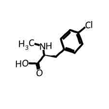 CN[C@@H](Cc1ccc(Cl)cc1)C(=O)O